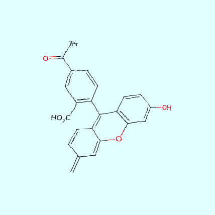 C=c1ccc2c(c1)Oc1cc(O)ccc1C=2c1ccc(C(=O)C(C)C)cc1C(=O)O